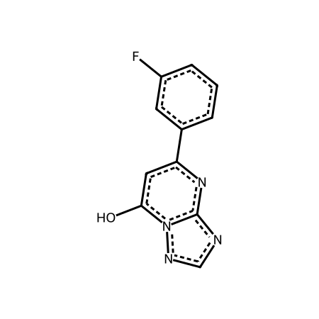 Oc1cc(-c2cccc(F)c2)nc2ncnn12